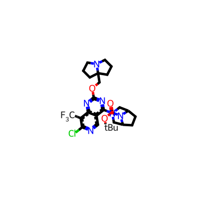 CC(C)(C)OC(=O)N1C2CCC1CN(c1nc(OCC34CCCN3CCC4)nc3c(C(F)(F)F)c(Cl)ncc13)C2